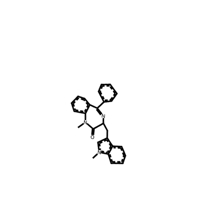 CN1C(=O)C(Cc2cn(C)c3ccccc23)N=C(c2ccccc2)c2ccccc21